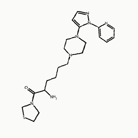 NC(CCCCN1CCN(c2ccnn2-c2ccccn2)CC1)C(=O)N1CCSC1